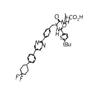 C[C@@H](NC(=O)[C@H](Cc1ccc(-c2ncc(-c3ccc(C4CCC(F)(F)CC4)cc3)cn2)cc1)NC(=O)c1ccc(C(C)(C)C)s1)C(=O)O